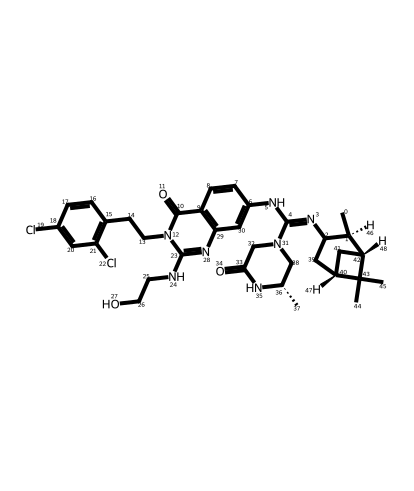 C[C@@H]1C(/N=C(/Nc2ccc3c(=O)n(CCc4ccc(Cl)cc4Cl)c(NCCO)nc3c2)N2CC(=O)N[C@@H](C)C2)C[C@@H]2C[C@H]1C2(C)C